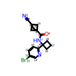 N#CC12CC(C(=O)NC3(c4ccc(Br)cn4)CCC3)(C1)C2